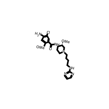 COc1cc(N)c(Cl)cc1C(=O)N[C@H]1CCN(CCCCNc2ncccn2)C[C@H]1OC